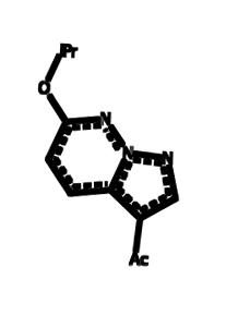 CC(=O)c1cnn2nc(OC(C)C)ccc12